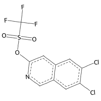 O=S(=O)(Oc1cc2cc(Cl)c(Cl)cc2cn1)C(F)(F)F